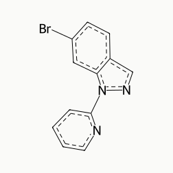 Brc1ccc2cnn(-c3ccccn3)c2c1